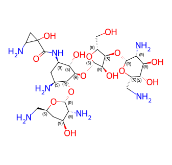 NC[C@@H]1C[C@H](O)[C@@H](N)[C@@H](O[C@H]2[C@H](O[C@@H]3O[C@H](CO)[C@@H](O[C@H]4O[C@@H](CN)[C@@H](O)[C@H](O)[C@H]4N)[C@H]3O)[C@@H](O)[C@H](NC(=O)C3(O)CC3N)C[C@@H]2N)O1